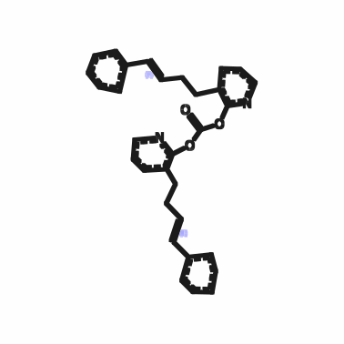 O=C(Oc1ncccc1CC/C=C/c1ccccc1)Oc1ncccc1CC/C=C/c1ccccc1